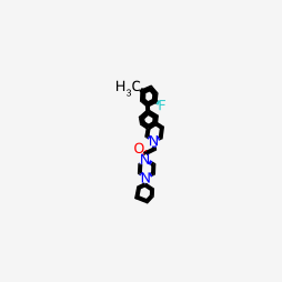 Cc1ccc(F)c(-c2ccc3c(c2)CCN(CC(=O)N2CCN(C4CCCCC4)CC2)C3)c1